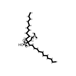 CCCCCCCCCCCCC(CCCCCCCCCC)(CCN(C)C)S(=O)(=O)O